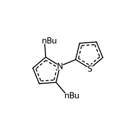 CCCCc1ccc(CCCC)n1-c1cccs1